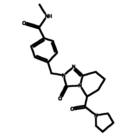 CNC(=O)c1ccc(Cn2nc3n(c2=O)C(C(=O)N2CCCC2)CCC3)cc1